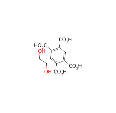 O=C(O)c1cc(C(=O)O)c(C(=O)O)cc1C(=O)O.OCCO